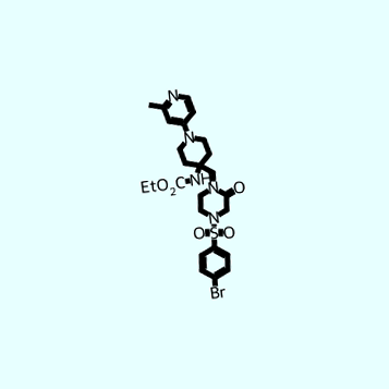 CCOC(=O)NC1(CN2CCN(S(=O)(=O)c3ccc(Br)cc3)CC2=O)CCN(c2ccnc(C)c2)CC1